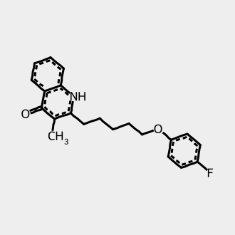 Cc1c(CCCCCOc2ccc(F)cc2)[nH]c2ccccc2c1=O